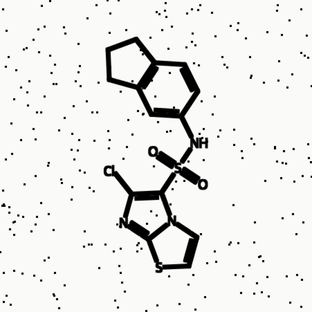 O=S(=O)(Nc1ccc2c(c1)CCC2)c1c(Cl)nc2sccn12